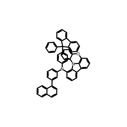 c1ccc(C2(c3ccc(N(c4cccc(-c5cccc6ccccc56)c4)c4cccc5c6cccc7c6n(c45)-c4ccccc4O7)cc3)c3ccccc3-c3ccccc32)cc1